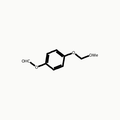 COCOc1ccc(OC=O)cc1